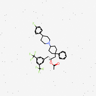 CC(=O)O[C@H](Cc1cc(C(F)(F)F)cc(C(F)(F)F)c1)CC1(c2ccccc2)CCC(N2CCC(c3ccc(F)cc3)CC2)CC1